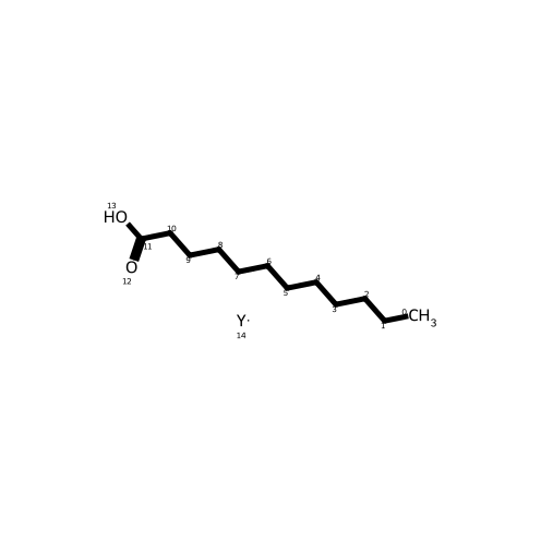 CCCCCCCCCCCC(=O)O.[Y]